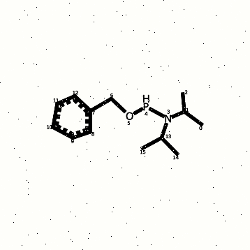 CC(C)N(POCc1ccccc1)C(C)C